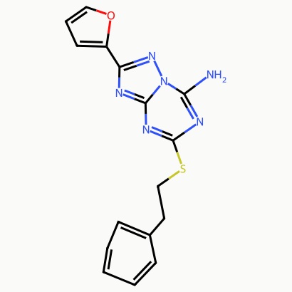 Nc1nc(SCCc2ccccc2)nc2nc(-c3ccco3)nn12